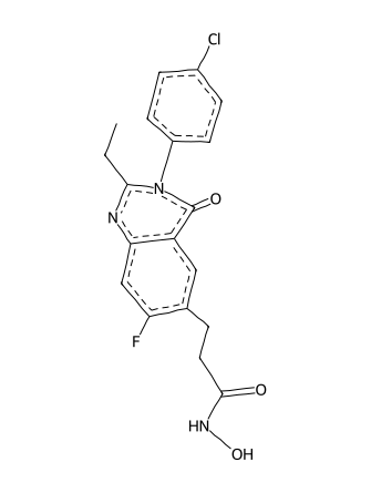 CCc1nc2cc(F)c(CCC(=O)NO)cc2c(=O)n1-c1ccc(Cl)cc1